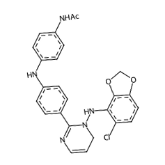 CC(=O)Nc1ccc(Nc2ccc(C3=NC=CCN3Nc3c(Cl)ccc4c3OCO4)cc2)cc1